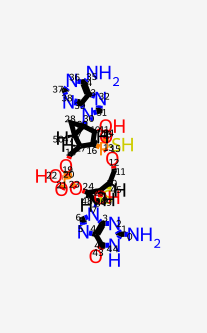 Nc1nc2c(ncn2[C@@H]2S[C@@H]3CO[P@@](=O)(S)[C@@H]4[C@@H](COP(=O)(O)O[C@@H]2[C@@H]3O)[C@@H]2CC2(n2cnc3c(N)ncnc32)[C@@H]4O)c(=O)[nH]1